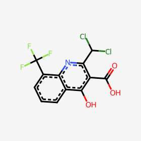 O=C(O)c1c(C(Cl)Cl)nc2c(C(F)(F)F)cccc2c1O